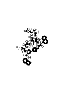 CN[C@@H](C)C(=O)NC(C(=O)N1C[C@@H](c2ccc(C[C@H](NC(=O)[C@@H](NC(=O)[C@H](C)NC)C(C)(C)SCC(=O)N(C)C[C@@H](O)CO)C(=O)N[C@@H]3CCCc4ccccc43)cc2)C[C@H]1C(=O)N[C@@H]1CCCc2ccccc21)C(C)(C)C